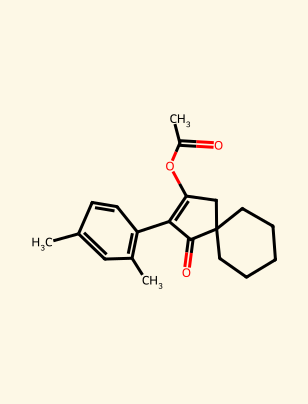 CC(=O)OC1=C(c2ccc(C)cc2C)C(=O)C2(CCCCC2)C1